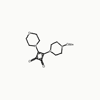 CON1CCN(c2c(N3CCOCC3)c(=O)c2=O)CC1